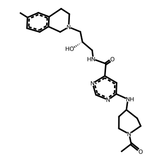 CC(=O)N1CCC(Nc2cc(C(=O)NC[C@H](O)CN3CCc4cc(C)ccc4C3)ncn2)CC1